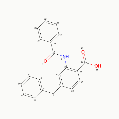 O=C(Nc1cc(Cc2ccccc2)ccc1C(=O)O)c1ccccc1